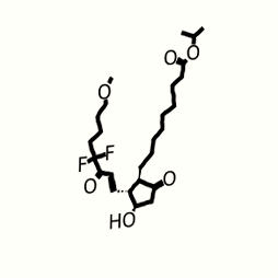 COCCCCC(F)(F)C(=O)/C=C/[C@H]1[C@H](O)CC(=O)[C@@H]1CCCCCCCCC(=O)OC(C)C